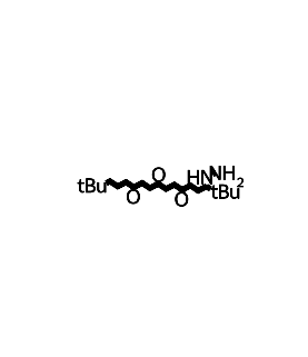 CC(C)(C)CCCC(=O)CCC(=O)CCC(=O)CCC(NN)C(C)(C)C